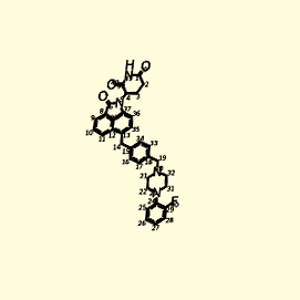 O=C1CCC(N2C(=O)c3cccc4c(Cc5ccc(CN6CCN(c7ccccc7F)CC6)cc5)ccc2c34)C(=O)N1